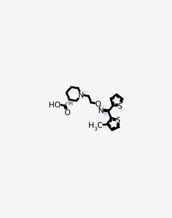 Cc1ccsc1/C(=N/OCCN1CCC[C@@H](C(=O)O)C1)c1cccs1